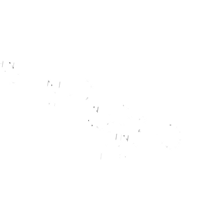 C[C@H](NC(=O)C(C)(F)F)[C@H](Oc1ccc2c(cnn2-c2cccc(C(=O)NCCC(N)=O)c2)c1)c1ccccc1